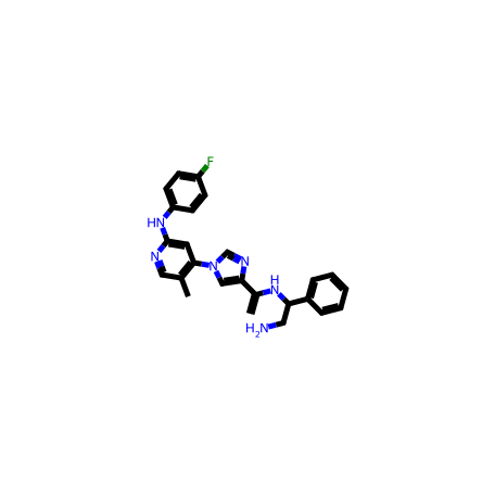 C=C(NC(CN)c1ccccc1)c1cn(-c2cc(Nc3ccc(F)cc3)ncc2C)cn1